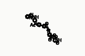 CC(=O)N(c1ccc(-c2ccn(CC3CN(c4ccc5c(c4)C(=O)N(C4CCC(=O)NC4=O)C5=O)C3)c(=O)c2)cc1)C1CCC(Nc2ncc3ccccc3n2)CC1